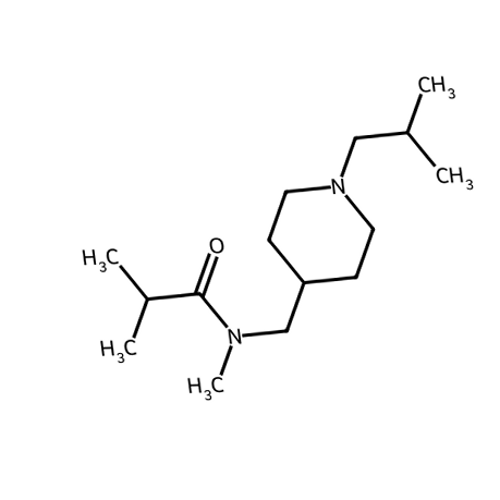 CC(C)CN1CCC(CN(C)C(=O)C(C)C)CC1